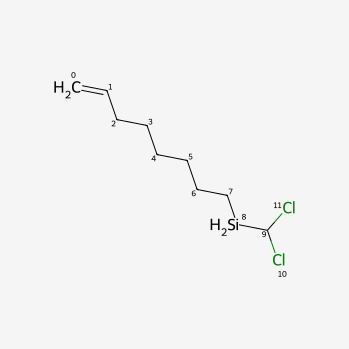 C=CCCCCCC[SiH2]C(Cl)Cl